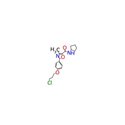 Cc1nc(-c2ccc(OCCCCl)cc2)oc1C(=O)NC1CCCC1